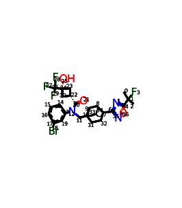 CC(C)(F)c1nc(C23CCC(CN(c4cccc(Br)c4)C(=O)[C@H]4C[C@](O)(C(F)(F)F)C4)(CC2)CC3)no1